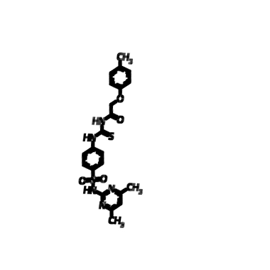 Cc1ccc(OCC(=O)NC(=S)Nc2ccc(S(=O)(=O)Nc3nc(C)cc(C)n3)cc2)cc1